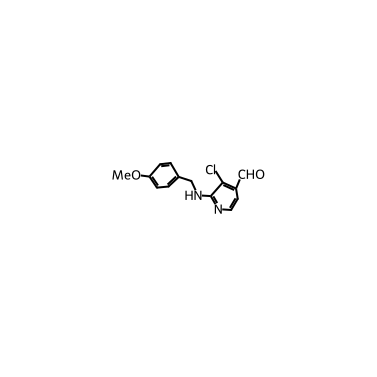 COc1ccc(CNc2nccc(C=O)c2Cl)cc1